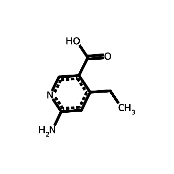 CCc1cc(N)ncc1C(=O)O